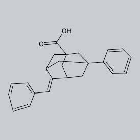 O=C(O)C12CC3CC(c4ccccc4)(CC(C1)C3=Cc1ccccc1)C2